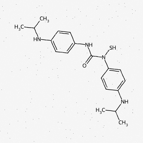 CC(C)Nc1ccc(NC(=O)N(S)c2ccc(NC(C)C)cc2)cc1